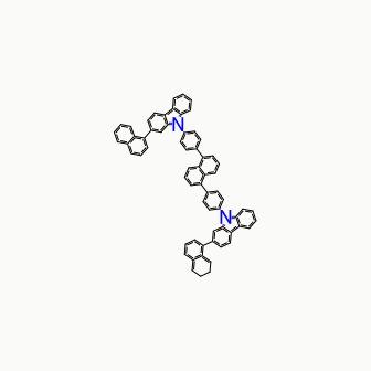 C1=c2cccc(-c3ccc4c5ccccc5n(-c5ccc(-c6cccc7c(-c8ccc(-n9c%10ccccc%10c%10ccc(-c%11cccc%12ccccc%11%12)cc%109)cc8)cccc67)cc5)c4c3)c2=CCC1